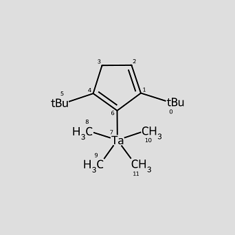 CC(C)(C)C1=CCC(C(C)(C)C)=[C]1[Ta]([CH3])([CH3])([CH3])[CH3]